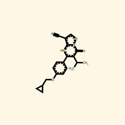 CC(C)c1c(-c2ccc(OCC3CC3)cc2)[nH]c2c(C#N)cnn2c1=O